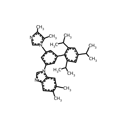 Cc1cc2ncn(-c3cc(-c4c(C(C)C)cc(C(C)C)cc4C(C)C)cc(-n4cnc(C)c4C)c3)c2cc1C